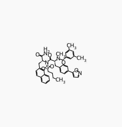 CCCCS(=O)(=O)N(C(=O)[C@H](Cc1ccc(-c2ccno2)cc1)N(C)C(=O)c1cc(C)cc(C)c1)[C@@H](Cc1ccc2ccccc2c1)C(N)=O